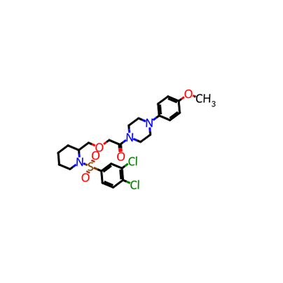 COc1ccc(N2CCN(C(=O)COCC3CCCCN3S(=O)(=O)c3ccc(Cl)c(Cl)c3)CC2)cc1